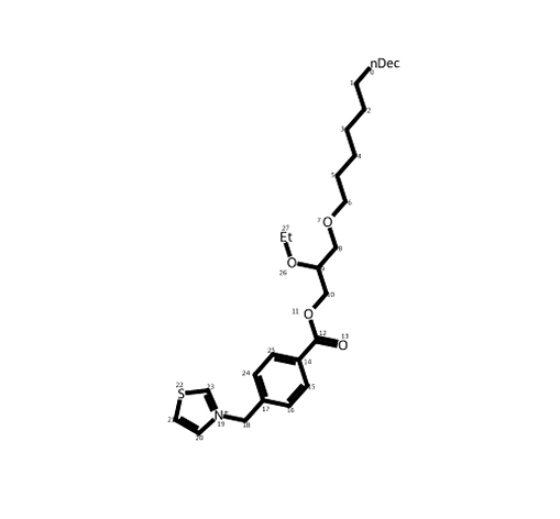 CCCCCCCCCCCCCCCCOCC(COC(=O)c1ccc(C[n+]2ccsc2)cc1)OCC